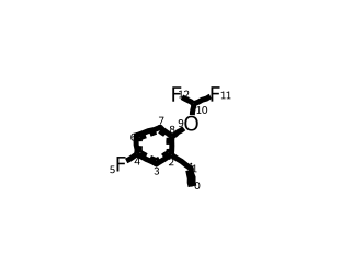 C=[C]c1cc(F)ccc1OC(F)F